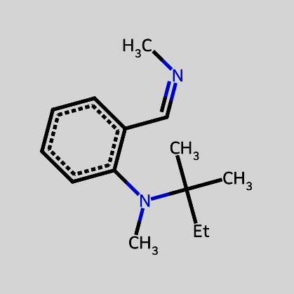 CCC(C)(C)N(C)c1ccccc1/C=N\C